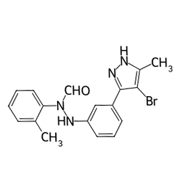 Cc1ccccc1N(C=O)Nc1cccc(-c2n[nH]c(C)c2Br)c1